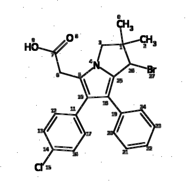 CC1(C)Cn2c(CC(=O)O)c(-c3ccc(Cl)cc3)c(-c3ccccc3)c2C1Br